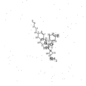 CCCCCC1C=CC2=C(CCN(C(=O)N[C@]3(C)C[C@@H](N)C3)[C@H]2c2ccc(F)cc2)C1